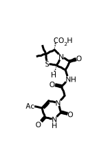 CC(=O)c1cn(CC(=O)NC2C(=O)N3[C@@H]2SC(C)(C)[C@@H]3C(=O)O)c(=O)[nH]c1=O